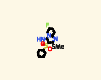 CSc1nc2ccc(F)cn2c(=N)c1S(=O)(=O)c1ccccc1